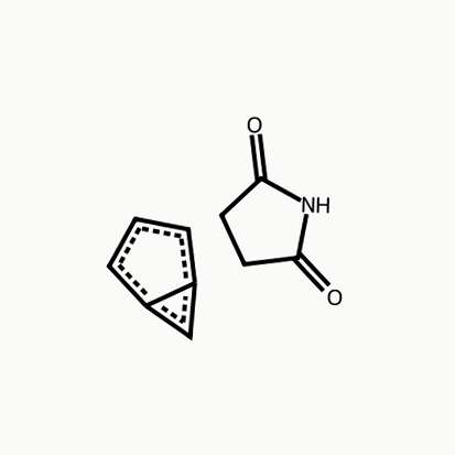 O=C1CCC(=O)N1.c1cc2cc-2c1